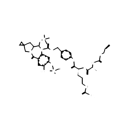 C=CCOC(=O)N[C@H](C(=O)N[C@@H](CCCNC(N)=O)C(=O)Nc1ccc(COC(=O)N2c3cc(O[Si](C(C)C)(C(C)C)C(C)C)c(OC)cc3C(=O)N3CC4(CC4)C[C@H]3C2O[Si](C)(C)C(C)(C)C)cc1)C(C)C